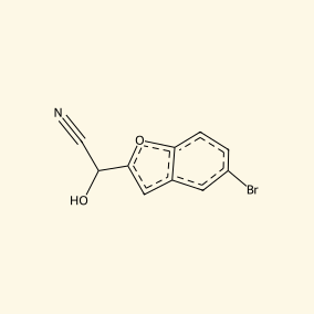 N#CC(O)c1cc2cc(Br)ccc2o1